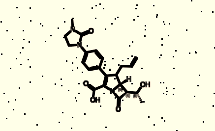 C=CCC1C(c2ccc(N3CCN(C)C3=O)cc2)=C(C(=O)O)N2C(=O)[C@H]([C@@H](C)O)[C@@H]12